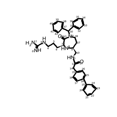 N=C(N)NCCC[C@@H]1N[C@H](CNC(=O)Cc2ccc(-c3ccccc3)cc2)CCN(C(c2ccccc2)c2ccccc2)C1=O